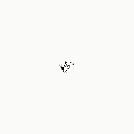 [Cu].[MgH2].[O]=[Co]